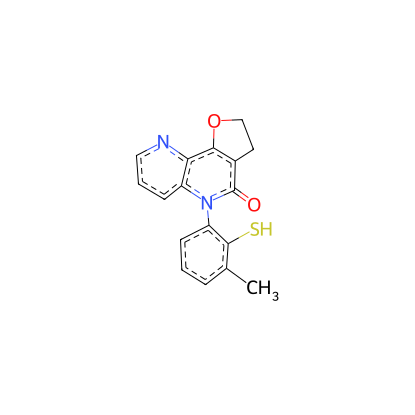 Cc1cccc(-n2c(=O)c3c(c4ncccc42)OCC3)c1S